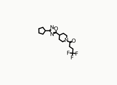 O=C(CCC(F)(F)F)N1CCC(c2nc(C3CCCC3)no2)CC1